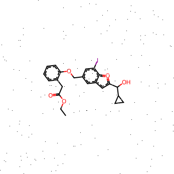 CCOC(=O)Cc1ccccc1OCc1cc(I)c2oc(C(O)C3CC3)cc2c1